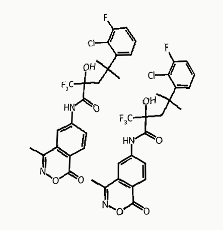 Cc1noc(=O)c2ccc(NC(=O)C(O)(CC(C)(C)c3cccc(F)c3Cl)C(F)(F)F)cc12.Cc1noc(=O)c2ccc(NC(=O)C(O)(CC(C)(C)c3cccc(F)c3Cl)C(F)(F)F)cc12